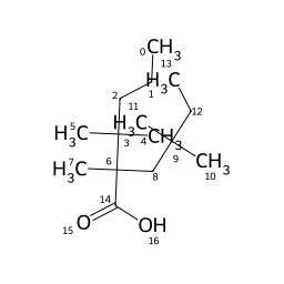 CCCC(C)(C)C(C)(CC(C)(C)CC)C(=O)O